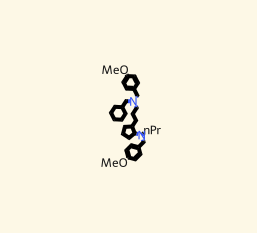 CCCN(Cc1ccc(OC)cc1)C1CCCC1CCCN(Cc1ccc(OC)cc1)CC1CCCCC1